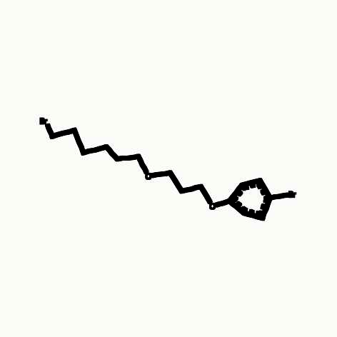 BrCCCCCCOCCCOc1ccc(Br)cc1